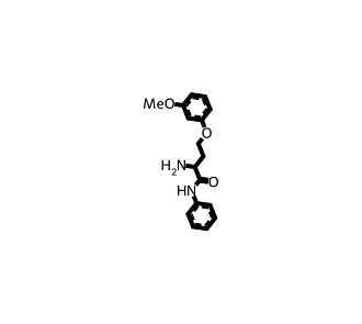 COc1cccc(OCCC(N)C(=O)Nc2ccccc2)c1